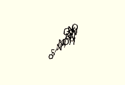 Cn1c(=O)c2c(ncn2CC(O)CN2CCN(CCCSc3ccccc3)CC2I)n(C)c1=O